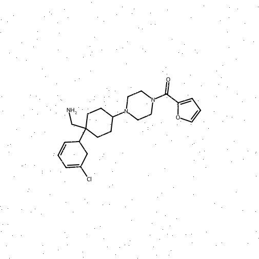 NCC1(C2C=CC=C(Cl)C2)CCC(N2CCN(C(=O)c3ccco3)CC2)CC1